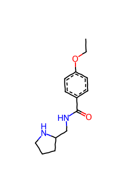 CCOc1ccc(C(=O)NCC2CCCN2)cc1